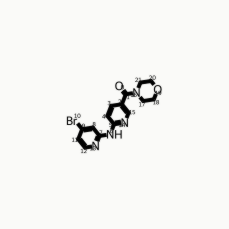 O=C(c1ccc(Nc2cc(Br)ccn2)nc1)N1CCOCC1